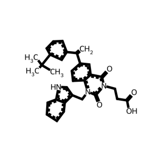 C=C(c1cccc(C(C)(C)C)c1)c1ccc2c(c1)c(=O)n(CCC(=O)O)c(=O)n2Cc1c[nH]c2ccccc12